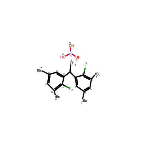 CC(c1cc(C(C)(C)C)cc(C(C)(C)C)c1F)c1cc(C(C)(C)C)cc(C(C)(C)C)c1F.OP(O)O